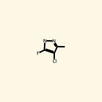 CC1=N[N]C(F)=C1Cl